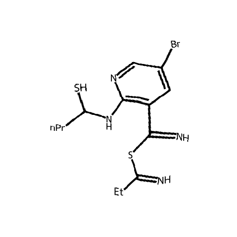 CCCC(S)Nc1ncc(Br)cc1C(=N)SC(=N)CC